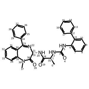 C[C@H](NC(=O)Nc1ccccc1-c1ccccc1)C(=O)N[C@H]1N=C(c2ccccc2)c2ccccc2N(C)C1=O